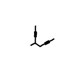 CC#CC[C](C)C#CC